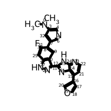 CN(C)c1cncc(-c2cc3c(-c4nc5c(-c6ccoc6)ccnc5[nH]4)n[nH]c3cc2F)c1